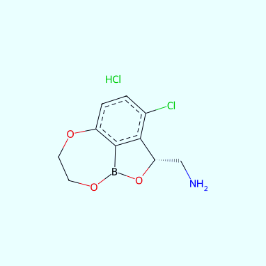 Cl.NC[C@@H]1OB2OCCOc3ccc(Cl)c1c32